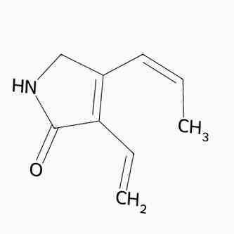 C=CC1=C(/C=C\C)CNC1=O